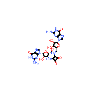 Nc1nc2c(ncn2[C@@H]2O[C@H](CNc3c(N[C@H]4[C@@H](O)[C@H](n5cnc6c(=O)[nH]c(N)nc65)O[C@@H]4CO)c(=O)c3=O)[C@@H](O)[C@H]2O)c(=O)[nH]1